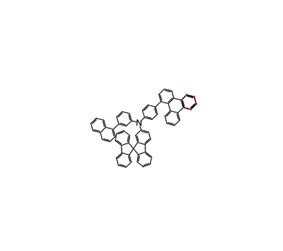 c1ccc(-c2ccccc2-c2c(-c3ccccc3)cccc2-c2ccc(N(c3cccc(-c4cccc5ccccc45)c3)c3ccc4c(c3)C3(c5ccccc5-c5ccccc53)c3ccccc3-4)cc2)cc1